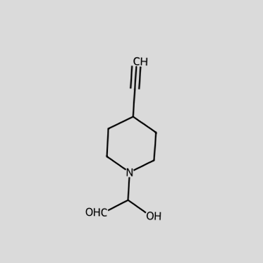 C#CC1CCN(C(O)C=O)CC1